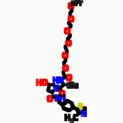 CCCOCCOCCOCCOCCOCCOCC(=O)N[C@H](C(=O)N1C[C@H](O)C[C@H]1C(=O)NCc1ccc(-c2scnc2C)cc1)C(C)(C)C